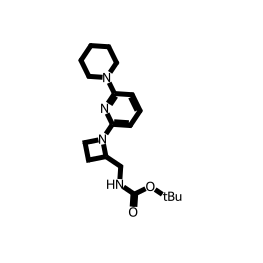 CC(C)(C)OC(=O)NCC1CCN1c1cccc(N2CCCCC2)n1